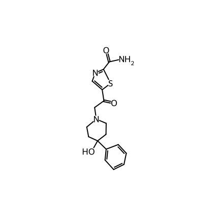 NC(=O)c1ncc(C(=O)CN2CCC(O)(c3ccccc3)CC2)s1